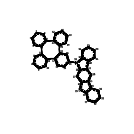 c1ccc2c(c1)-c1ccccc1-c1ccc(-n3c4ccccc4c4cc5c(cc43)sc3ccccc35)cc1-c1ccccc1-2